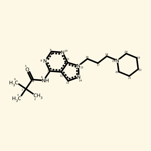 CC(C)(C)C(=O)Nc1ncnc2c1cnn2CCCN1CCCCC1